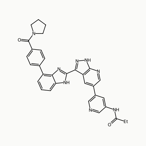 CCC(=O)Nc1cncc(-c2cnc3[nH]nc(-c4nc5c(-c6ccc(C(=O)N7CCCC7)cc6)cccc5[nH]4)c3c2)c1